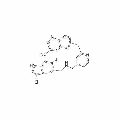 N#Cc1cnc2ccc(Cc3cc(CNCc4cc5c(Cl)c[nH]c5cc4F)ccn3)cc2c1